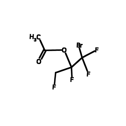 CC(=O)OC(F)(CF)C(F)(F)Br